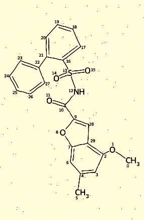 COc1cc(C)cc2oc(C(=O)NS(=O)(=O)c3ccccc3-c3ccccc3)cc12